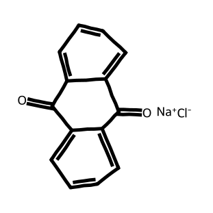 O=C1c2ccccc2C(=O)c2ccccc21.[Cl-].[Na+]